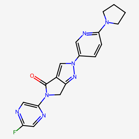 O=C1c2cn(-c3ccc(N4CCCC4)nc3)nc2CN1c1cnc(F)cn1